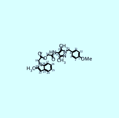 COc1ccc(Cn2nc(C)c(NC(=O)COC(=O)Cn3c(C)cc4ccccc43)c2C)cc1